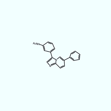 CC(=O)Nc1cccc(-c2cnc3ccc(-c4ccccc4)cn23)c1